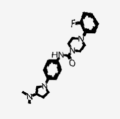 CN(C)C1CCN(c2ccc(NC(=O)N3CCN(c4ccccc4F)CC3)cc2)C1